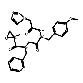 COc1ccc(C[C@H](NC(=O)Cn2ccnn2)C(=O)C[C@@H](Cc2ccccc2)C(=O)[C@@]2(C)CO2)cc1